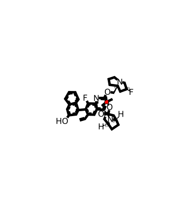 C=Cc1cc2c(N3C[C@H]4CC[C@@H](C3)N4C(=O)OC(C)(C)C)nc(OC[C@@]34CCCN3C[C@H](F)C4)nc2c(F)c1-c1cc(O)cc2ccccc12